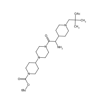 CC(=O)OC(C)(C)CN1CCC(C(N)C(=O)N2CCN(C3CCN(C(=O)OC(C)(C)C)CC3)CC2)CC1